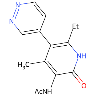 CCc1[nH]c(=O)c(NC(C)=O)c(C)c1-c1ccnnc1